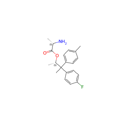 Cc1ccc(C(C)(c2ccc(F)cc2)[C@H](C)OC(=O)[C@H](C)N)cc1